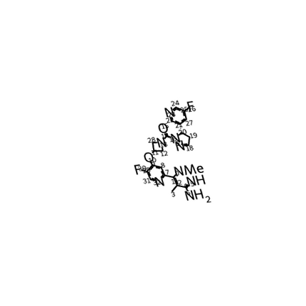 CN/C(=C(/C)C(=N)N)c1cc(OC2CN(C(=O)N3N=CC[C@H]3c3cncc(F)c3)C2)c(F)cn1